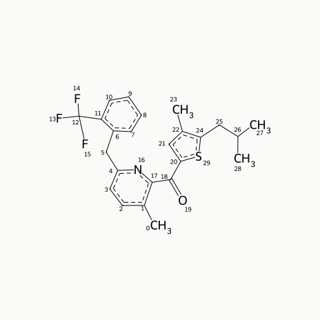 Cc1ccc(Cc2ccccc2C(F)(F)F)nc1C(=O)c1cc(C)c(CC(C)C)s1